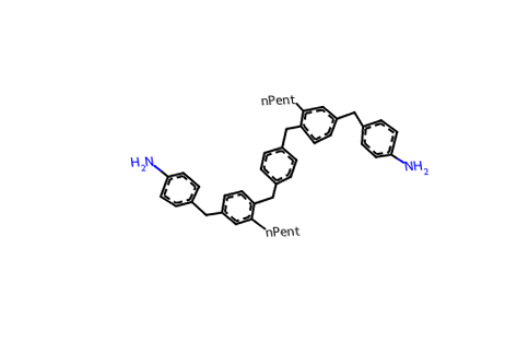 CCCCCc1cc(Cc2ccc(N)cc2)ccc1Cc1ccc(Cc2ccc(Cc3ccc(N)cc3)cc2CCCCC)cc1